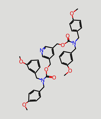 COc1ccc(CN(Cc2cccc(OC)c2)C(=O)OCc2cncc(COC(=O)N(Cc3ccc(OC)cc3)Cc3cccc(OC)c3)c2)cc1